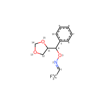 FC(F)(F)C=NOC(c1ccccc1)C1COCO1